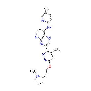 CN1CCCC1CCOc1cc(C(F)(F)F)c(-c2cnc3c(Nc4ccc(C(F)(F)F)cn4)ccnc3n2)nn1